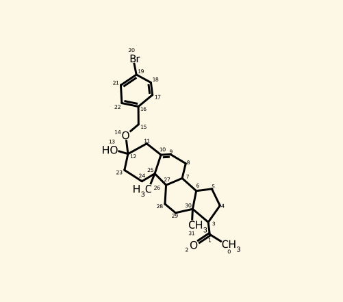 CC(=O)C1CCC2C3CC=C4CC(O)(OCc5ccc(Br)cc5)CCC4(C)C3CCC12C